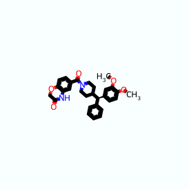 COc1ccc([C@@H](c2ccccc2)C2CCN(C(=O)c3ccc4c(c3)NC(=O)CO4)CC2)cc1OC